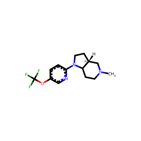 CN1CCC2[C@H](CCN2c2ccc(OC(F)(F)F)cn2)C1